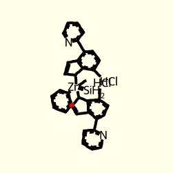 Cc1ccc(-c2ccccn2)c2c1[CH]([Zr]([CH3])(=[SiH2])([c]1ccccc1)[CH]1C=Cc3c(-c4ccccn4)ccc(C)c31)C=C2.Cl.Cl